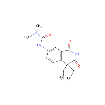 CCC1(CC)C(=O)NC(=O)c2cc(NC(=O)N(C)C)ccc21